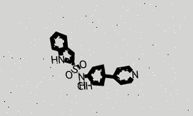 Cl.O=S(=O)(Nc1ccc(-c2ccncc2)cc1)c1cc2ccccc2[nH]1